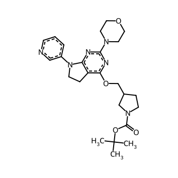 CC(C)(C)OC(=O)N1CCC(COc2nc(N3CCOCC3)nc3c2CCN3c2cccnc2)C1